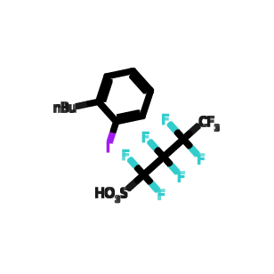 CCCCc1ccccc1I.O=S(=O)(O)C(F)(F)C(F)(F)C(F)(F)C(F)(F)F